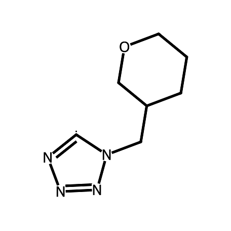 [c]1nnnn1CC1CCCOC1